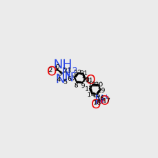 NC(=O)c1ncn(-c2ccc(Oc3ccc([N+](=O)[O-])cc3)cc2)n1